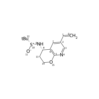 C=Cc1cnc2c(c1)[C@@H](N[S@+]([O-])C(C)(C)C)CCO2